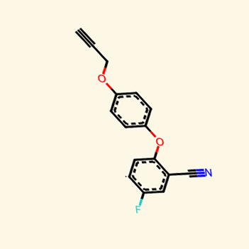 C#CCOc1ccc(Oc2c[c]c(F)cc2C#N)cc1